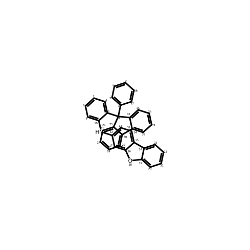 c1ccc(C2(c3ccccc3Nc3ccc4c(c3)oc3ccccc34)c3ccccc3-c3ccccc32)cc1